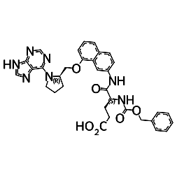 O=C(O)CC[C@H](NC(=O)OCc1ccccc1)C(=O)Nc1ccc2cccc(OC[C@H]3CCCN3c3ncnc4[nH]cnc34)c2c1